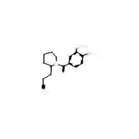 C#CCCC1CCCCN1C(=O)c1ccc([N+](=O)[O-])c(OC)c1